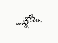 CNc1nc(Nc2cnn(CCN)c2C)ncc1C(F)(F)F